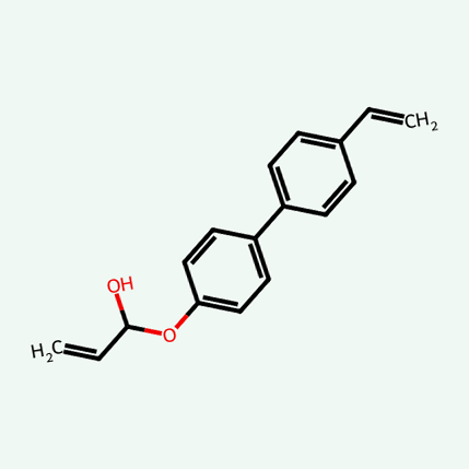 C=Cc1ccc(-c2ccc(OC(O)C=C)cc2)cc1